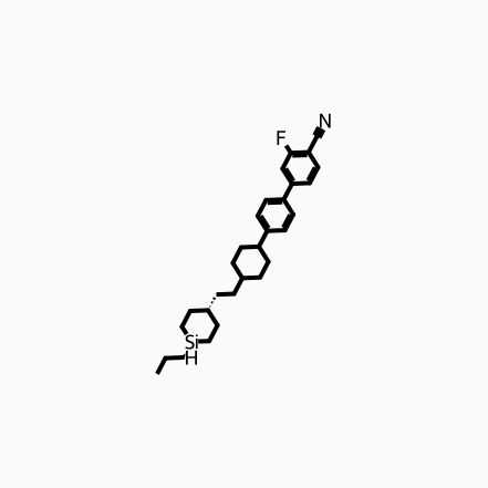 CCC[Si@H]1CC[C@H](CCC2CCC(c3ccc(-c4ccc(C#N)c(F)c4)cc3)CC2)CC1